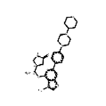 C[C@@H](Oc1nc(-c2ccc(N3CCN(C4CCOCC4)CC3)cc2)cc2ncn(C)c12)[C@H]1CNC(=O)C1